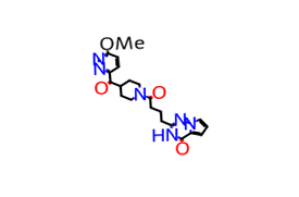 COc1ccc(C(=O)C2CCN(C(=O)CCCc3nn4cccc4c(=O)[nH]3)CC2)nn1